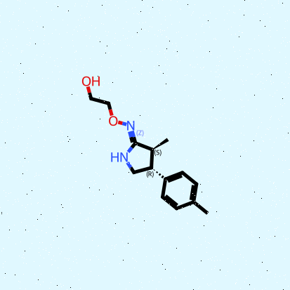 Cc1ccc([C@@H]2CN/C(=N\OCCO)[C@H]2C)cc1